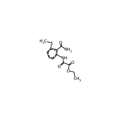 CCOC(=O)C(=O)Nc1cccc(SC)c1C(N)=O